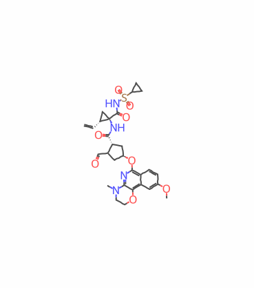 C=C[C@@H]1C[C@]1(NC(=O)[C@@H]1C[C@@H](Oc2nc3c(c4cc(OC)ccc24)OCCN3C)CC1C=O)C(=O)NS(=O)(=O)C1CC1